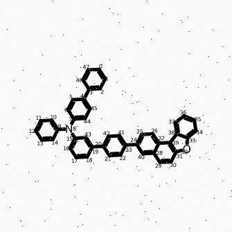 c1ccc(-c2ccc(N(c3ccccc3)c3cccc(-c4ccc(-c5ccc6c(ccc7oc8ccccc8c76)c5)cc4)c3)cc2)cc1